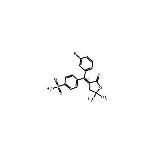 CC1(C)C/C(=C(\c2ccc(S(C)(=O)=O)cc2)c2cccc(F)c2)C(=O)O1